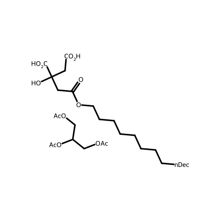 CC(=O)OCC(COC(C)=O)OC(C)=O.CCCCCCCCCCCCCCCCCCOC(=O)CC(O)(CC(=O)O)C(=O)O